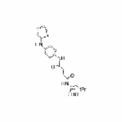 CC(C)C[C@@H](C=O)NC(=O)CCC(=O)Nc1ccc(Nc2ccccc2)cc1